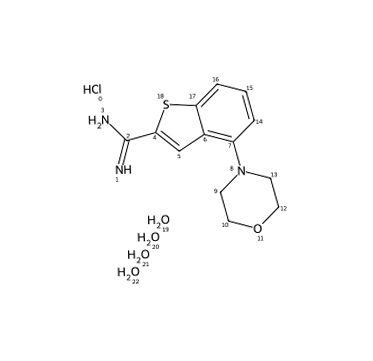 Cl.N=C(N)c1cc2c(N3CCOCC3)cccc2s1.O.O.O.O